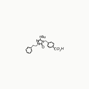 CCCCc1nn(CCc2ccccc2)c(=O)n1Cc1ccc(C(=O)O)cc1